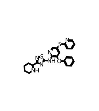 c1ccc(Oc2cc(Sc3ccccn3)cnc2Nc2nc(C3CCCCN3)ns2)cc1